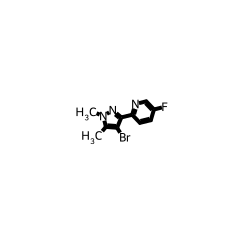 Cc1c(Br)c(-c2ccc(F)cn2)nn1C